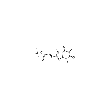 Cn1c(=O)c2c(nc(C=CC(=O)OC(C)(C)C)n2C)n(C)c1=O